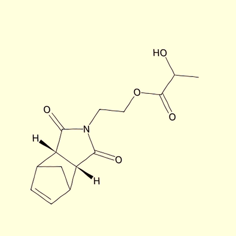 CC(O)C(=O)OCCN1C(=O)[C@@H]2C3C=CC(C3)[C@@H]2C1=O